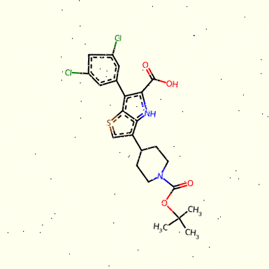 CC(C)(C)OC(=O)N1CCC(c2csc3c(-c4cc(Cl)cc(Cl)c4)c(C(=O)O)[nH]c23)CC1